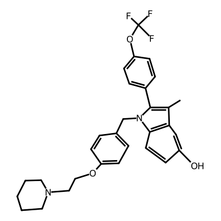 Cc1c(-c2ccc(OC(F)(F)F)cc2)n(Cc2ccc(OCCN3CCCCC3)cc2)c2ccc(O)cc12